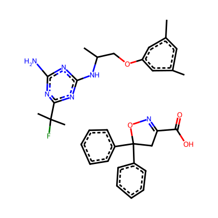 Cc1cc(C)cc(OCC(C)Nc2nc(N)nc(C(C)(C)F)n2)c1.O=C(O)C1=NOC(c2ccccc2)(c2ccccc2)C1